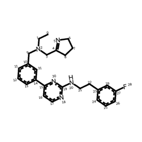 CCN(CC1=NCCC1)Cc1cccc(-c2ccnc(NCCc3cccc(F)c3)n2)c1